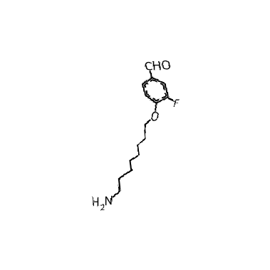 NCCCCCCCCOc1ccc(C=O)cc1F